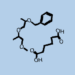 COCC(C)OCC(C)OCc1ccccc1.O=C(O)CCCCC(=O)O